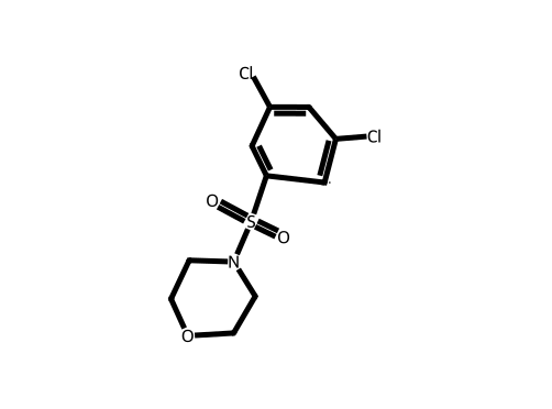 O=S(=O)(c1[c]c(Cl)cc(Cl)c1)N1CCOCC1